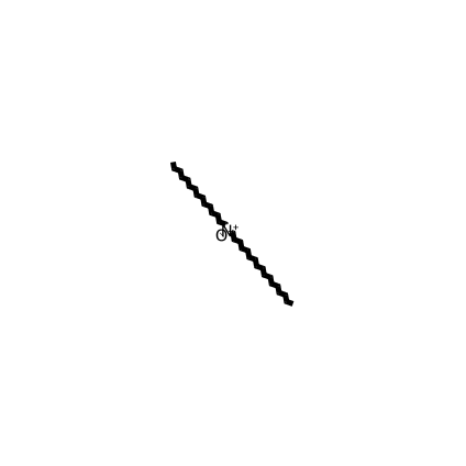 CCCCCCCCCCCCCCCCC=[N+]([O-])CCCCCCCCCCCCCCC